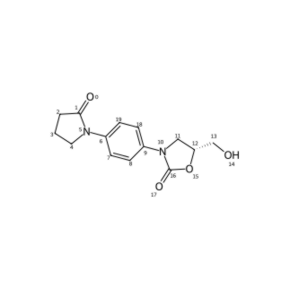 O=C1CCCN1c1ccc(N2C[C@H](CO)OC2=O)cc1